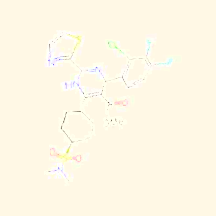 COC(=O)C1=C([C@H]2CC[C@H](S(=O)(=O)N(C)C)CC2)NC(c2nccs2)=NC1c1ccc(F)c(F)c1Cl